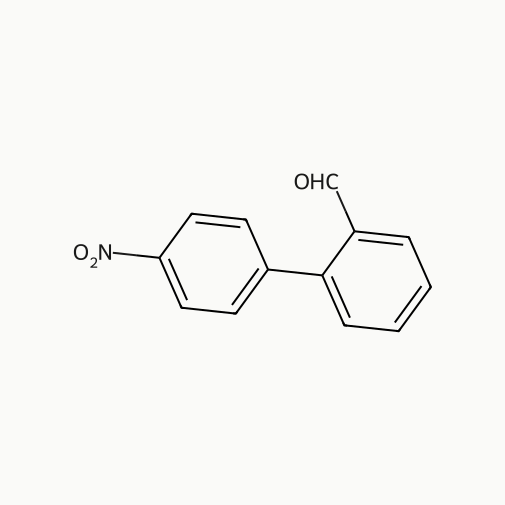 O=Cc1ccccc1-c1ccc([N+](=O)[O-])cc1